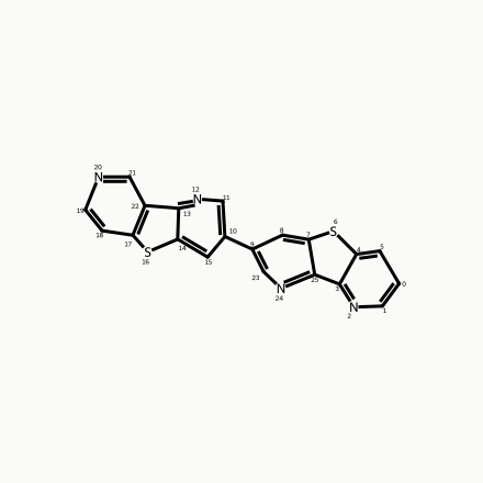 c1cnc2c(c1)sc1cc(-c3cnc4c(c3)sc3ccncc34)cnc12